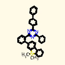 CS1(C)c2ccccc2-c2ccc(-c3ccccc3-c3nc(-c4ccccc4)nc(-c4ccc(-c5ccccc5)cc4)n3)cc21